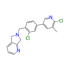 Cc1cc(-c2ccc(CN3Cc4cccnc4C3)c(Cl)c2)cnc1Cl